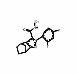 CC(C)(C)NC(=O)c1c2c(nn1-c1ccc(F)cc1F)C1CCC2C1